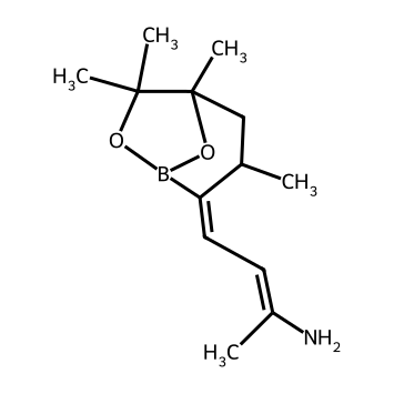 C/C(N)=C\C=C1\B2OC(C)(C)C(C)(CC1C)O2